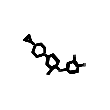 [CH2]c1cc(N2CCN(C3CC3)CC2)ccc1Oc1ccc(Cl)c(Cl)c1